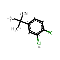 CC(C)(C#N)c1ccc(Cl)c(Cl)c1